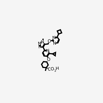 Cn1nnc(-c2ccc(O[C@H]3CCC[C@](C)(C(=O)O)C3)c(C3CC3)n2)c1COc1nccc(C2CCC2)n1